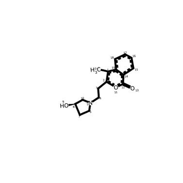 Cc1c(CCN2CC[C@@H](O)C2)oc(=O)c2ccccc12